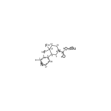 Cc1cc(C2CN(C(=O)OC(C)(C)C)CCC2(F)F)ccn1